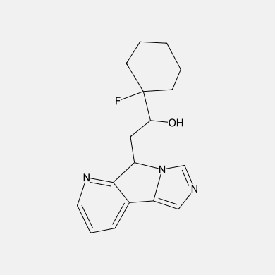 OC(CC1c2ncccc2-c2cncn21)C1(F)CCCCC1